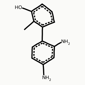 Cc1c(O)cccc1-c1ccc(N)cc1N